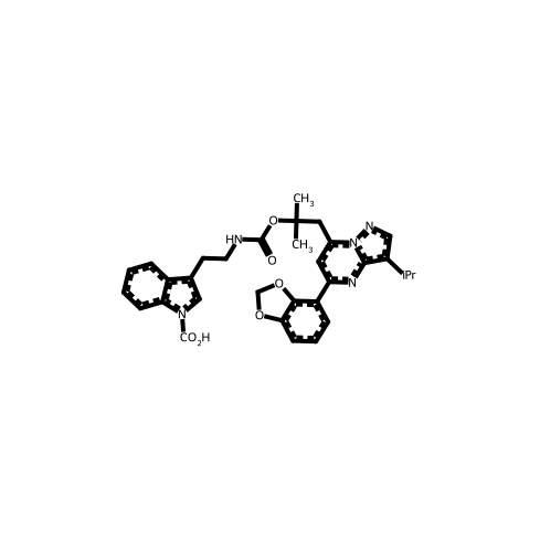 CC(C)c1cnn2c(CC(C)(C)OC(=O)NCCc3cn(C(=O)O)c4ccccc34)cc(-c3cccc4c3OCO4)nc12